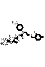 CC(C)(Sc1cnc(NC(=O)N(CCOCc2ccc(F)cc2F)[C@H]2CC[C@H](C)CC2)s1)C(=O)O